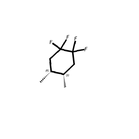 C[C@@H]1CC(F)(F)C(F)(F)C[C@@H]1C